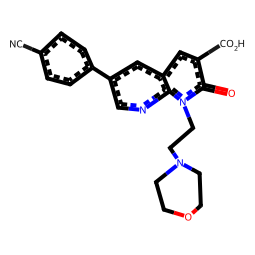 N#Cc1ccc(-c2cnc3c(c2)cc(C(=O)O)c(=O)n3CCN2CCOCC2)cc1